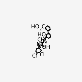 Cc1nn(C2CCC(Cl)C(Cl)C2)c(O)c1/N=N/c1cccc(-c2cccc(C(=O)O)c2)c1O